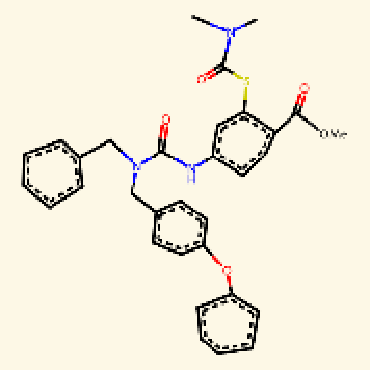 COC(=O)c1ccc(NC(=O)N(Cc2ccccc2)Cc2ccc(Oc3ccccc3)cc2)cc1SC(=O)N(C)C